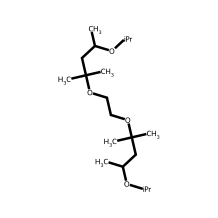 CC(C)OC(C)CC(C)(C)OCCOC(C)(C)CC(C)OC(C)C